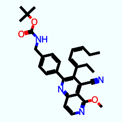 CC/C=C\C=C(/CC)c1c(-c2ccc(CNC(=O)OC(C)(C)C)cc2)nc2ccnc(OC)c2c1C#N